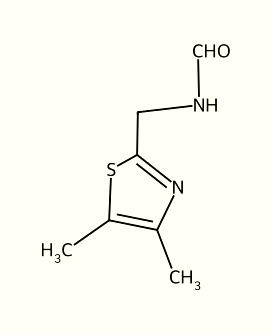 Cc1nc(CNC=O)sc1C